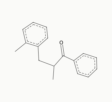 Cc1ccccc1CC(C)C(=O)c1ccccc1